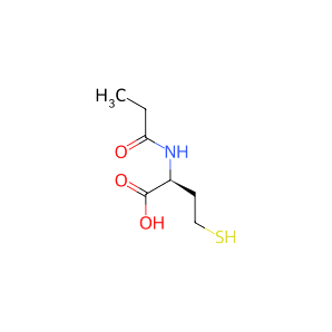 CCC(=O)N[C@@H](CCS)C(=O)O